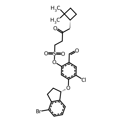 CC1(C)CC[C@@H]1CC(=O)CCS(=O)(=O)Oc1cc(O[C@H]2CCc3c(Br)cccc32)c(Cl)cc1C=O